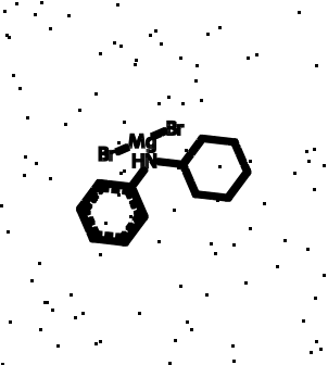 [Br][Mg][Br].c1ccc(NC2CCCCC2)cc1